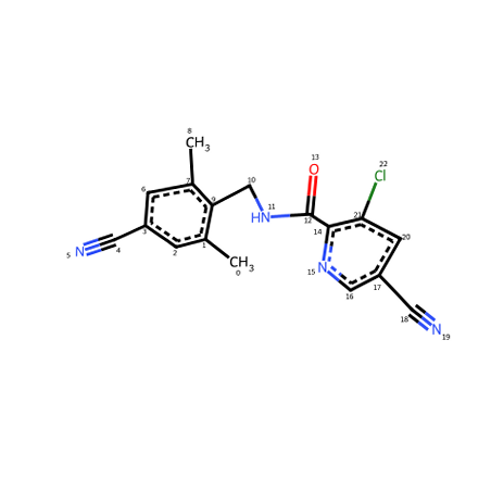 Cc1cc(C#N)cc(C)c1CNC(=O)c1ncc(C#N)cc1Cl